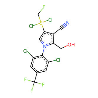 N#Cc1c(S(Cl)(Cl)CF)cn(-c2c(Cl)cc(C(F)(F)F)cc2Cl)c1CO